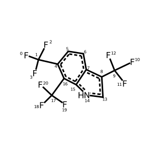 FC(F)(F)c1ccc2c(C(F)(F)F)c[nH]c2c1C(F)(F)F